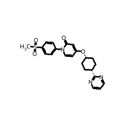 CS(=O)(=O)c1ccc(-n2ccc(O[C@H]3CC[C@@H](c4ncccn4)CC3)cc2=O)cc1